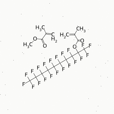 C=C(C)C(=O)OC.C=C(C)C(=O)OC(F)(C(F)(F)F)C(F)(F)C(F)(F)C(F)(F)C(F)(F)C(F)(F)C(F)(F)C(F)(F)C(F)(F)F